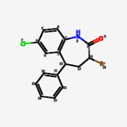 O=C1Nc2ccc(Cl)cc2C(c2ccccc2)CC1Br